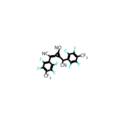 N#C/C(=C1C(N=O)=C\1C(C#N)c1c(F)c(F)c(C(F)(F)F)c(F)c1F)c1c(F)c(F)c(C(F)(F)F)c(F)c1F